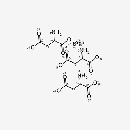 NC(CC(=O)[O-])C(=O)[O-].NC(CC(=O)[O-])C(=O)[O-].NC(CC(=O)[O-])C(=O)[O-].[B+3].[B+3]